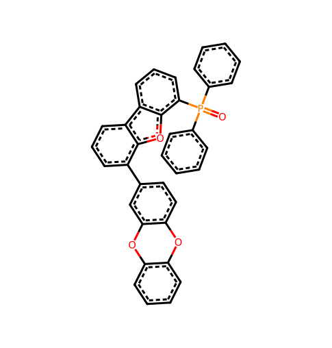 O=P(c1ccccc1)(c1ccccc1)c1cccc2c1oc1c(-c3ccc4c(c3)Oc3ccccc3O4)cccc12